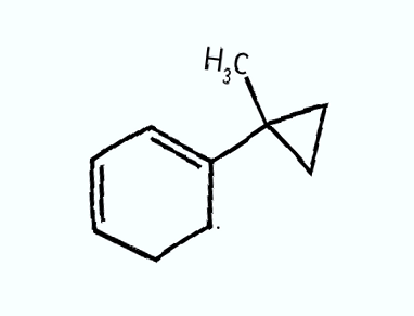 CC1(C2=CC=CC[CH]2)CC1